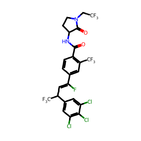 O=C(NC1CCN(CC(F)(F)F)C1=O)c1ccc(/C(F)=C/C(c2cc(Cl)c(Cl)c(Cl)c2)C(F)(F)F)cc1C(F)(F)F